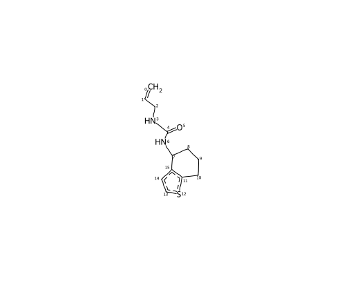 C=CCNC(=O)NC1CCCc2sccc21